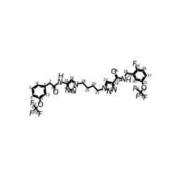 O=C(Cc1cccc(OC(F)(F)F)c1)Nc1cn(CCCCn2cc(C(=O)NCc3cc(OC(F)(F)F)ccc3F)nn2)nn1